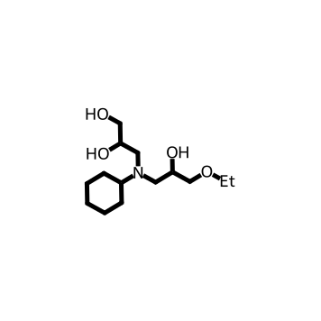 CCOCC(O)CN(CC(O)CO)C1CCCCC1